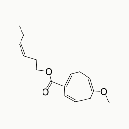 CC/C=C\CCOC(=O)C1=C/C/C=C(/OC)C/C=C\1